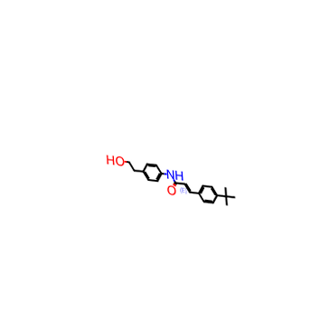 CC(C)(C)c1ccc(/C=C/C(=O)Nc2ccc(CCO)cc2)cc1